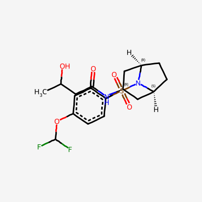 CC(O)CC(=O)N[C@H]1C[C@H]2CC[C@@H](C1)N2S(=O)(=O)c1ccc(OC(F)F)cc1